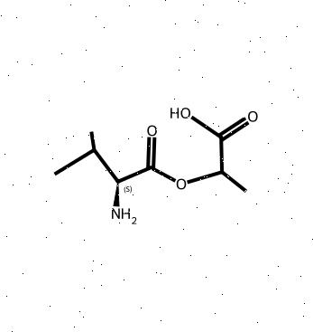 CC(OC(=O)[C@@H](N)C(C)C)C(=O)O